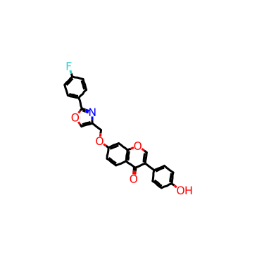 O=c1c(-c2ccc(O)cc2)coc2cc(OCc3coc(-c4ccc(F)cc4)n3)ccc12